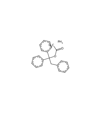 CC(=O)OC(Cc1ccccc1)(c1ccccc1)c1ccccc1.P